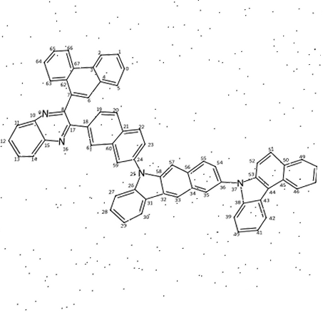 c1ccc2c(c1)cc(-c1nc3ccccc3nc1-c1ccc3ccc(-n4c5ccccc5c5cc6cc(-n7c8ccccc8c8c9ccccc9ccc87)ccc6cc54)cc3c1)c1ccccc12